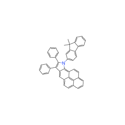 CC1(C)c2ccccc2-c2ccc(-n3c(-c4ccccc4)c(-c4ccccc4)c4cc5ccc6cccc7ccc(c5c67)c43)cc21